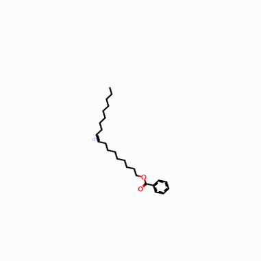 CCCCCCCC/C=C\CCCCCCCCOC(=O)c1ccccc1